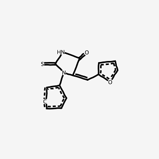 O=C1NC(=S)N(c2ccccc2)C1=Cc1ccco1